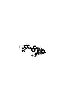 C=C1CC[C@@](O)([Si](C)(C)C(C)(C)C)C/C1=C/C=C1CCC[C@@]2(C)C1CC[C@@H]2[C@H](C)C(C[C@H](O)C(C)(C)O)S(=O)(=O)c1ccc(C)cc1